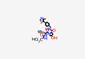 Cc1ncsc1-c1ccc(CNC(=O)[C@@H]2C[C@@H](O)CN2C(=O)[C@@H](NC(=O)CC(=O)O)C(C)(C)C)cc1